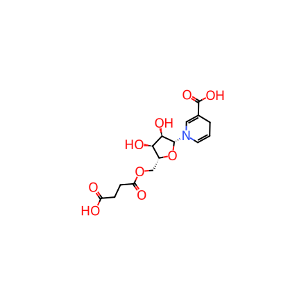 O=C(O)CCC(=O)OC[C@H]1O[C@@H](N2C=CCC(C(=O)O)=C2)[C@H](O)[C@@H]1O